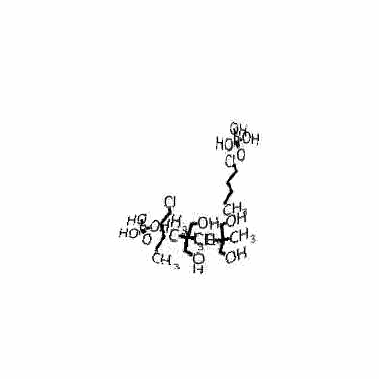 CC(C)(CO)CO.CC(C)(CO)CO.CCCCCCl.CCCCCCl.O=P(O)(O)O.O=P(O)(O)O